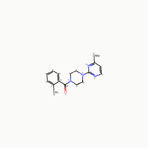 COc1ccnc(N2CCN(C(=O)c3ccccc3OC(C)=O)CC2)n1